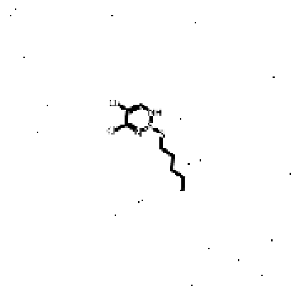 CCCCCSN1N=C(Cl)C(Cl)=CN1